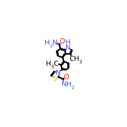 Cc1c(-c2ccc(C(N)=O)c3[nH]cc(C)c23)cccc1N1C=CSC1C(N)=O